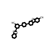 N#Cc1cc(-c2ccc(-c3ccc4c(c3)oc3cc(C#N)ccc34)cc2)cc(-c2nc3ccccc3s2)c1